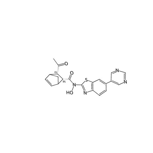 CC(=O)[C@H]1C2C=CC(C2)[C@H]1C(=O)N(O)c1nc2ccc(-c3cncnc3)cc2s1